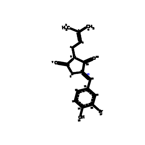 CC(C)=CCN1C(=O)S/C(=C\c2ccc(O)c(Br)c2)C1=O